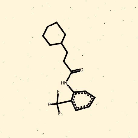 O=C(CCC1CCCCC1)Nc1ccccc1C(F)(F)F